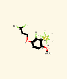 CCCCOc1ccc(OCCC(F)F)c(F)c1S(F)(F)(F)(F)F